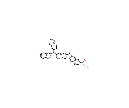 CCOC(=O)c1ccc2cc3c(cc2c1)C(C)(C)c1cc2cc(N(c4ccc5ccccc5c4)c4ccc5ccccc5c4)ccc2cc1-3